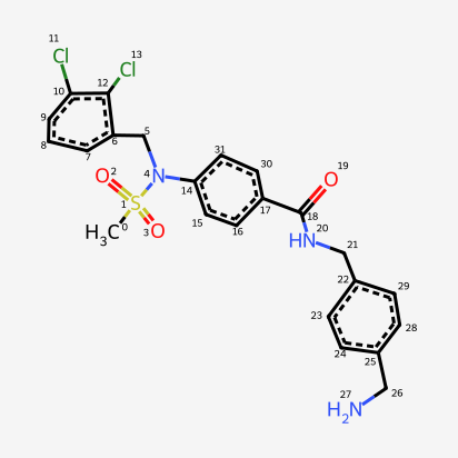 CS(=O)(=O)N(Cc1cccc(Cl)c1Cl)c1ccc(C(=O)NCc2ccc(CN)cc2)cc1